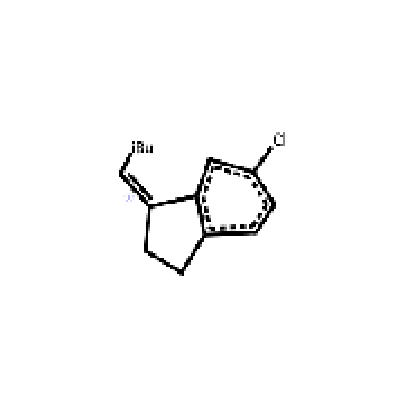 CCC(C)/C=C1/CCc2ccc(Cl)cc21